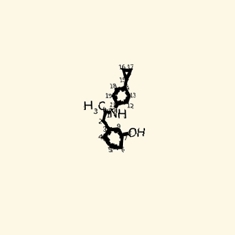 C[C@H](Cc1cccc(O)c1)Nc1ccc(C2CC2)cc1